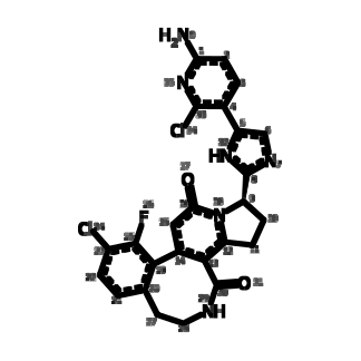 Nc1ccc(-c2cnc([C@H]3CCc4c5c(cc(=O)n43)-c3c(ccc(Cl)c3F)CCNC5=O)[nH]2)c(Cl)n1